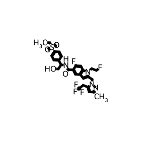 CCS(=O)(=O)c1ccc(C(CO)NC(=O)c2cc3cc(Cn4nc(C)cc4CC(F)(F)F)n(CCF)c3cc2F)cc1